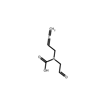 C=C=CCN(CC=O)C(=O)O